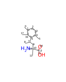 Cc1ccc(C)c(C(C)CC(C)(N)C(=O)O)c1C